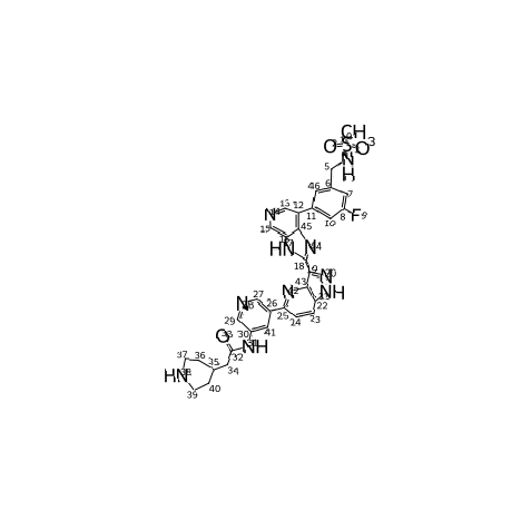 CS(=O)(=O)NCc1cc(F)cc(-c2cncc3[nH]c(-c4n[nH]c5ccc(-c6cncc(NC(=O)CC7CCNCC7)c6)nc45)nc23)c1